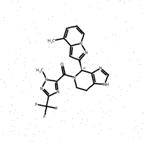 Cc1cccn2nc([C@H]3c4nc[nH]c4CCN3C(=O)c3nc(C(F)(F)F)nn3C)cc12